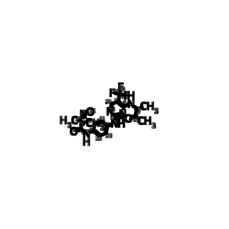 C[C@@H](O)[C@@H](C)Nc1nc(Nc2ccc(NC(=O)S(C)(C)N=O)cc2)ncc1C(F)(F)F